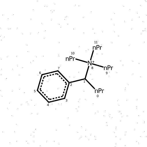 CCCC(c1ccccc1)[N+](CCC)(CCC)CCC